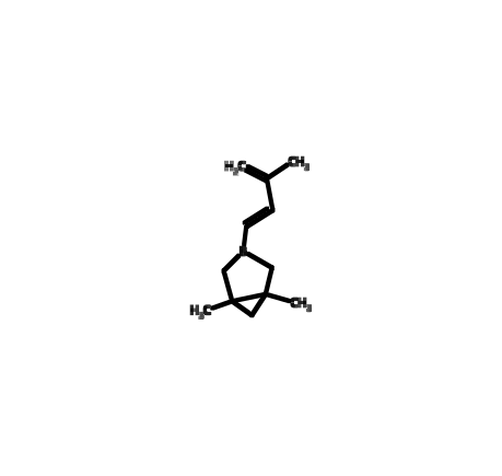 C=C(C)/C=C/B1CC2(C)CC2(C)C1